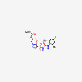 CNC(=O)OC1COc2c(S(=O)(=O)NC(=O)Nc3c(C(C)C)cc(F)cc3C(C)C)cnn2C1